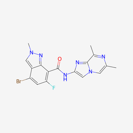 Cc1cn2cc(NC(=O)c3c(F)cc(Br)c4cn(C)nc34)nc2c(C)n1